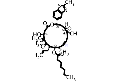 C=CC[C@H]1C(=O)C(C)(C)[C@@H](O)CC(=O)O[C@H](c2ccc3sc(C)nc3c2)C[C@@H]2O[C@]2(C)C/C=C\[C@H](C)[C@@H]1OC(=O)CCCCCC